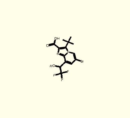 CC(C)(C)c1c(C(=O)O)nc2c(C(O)C(F)(F)F)cc(Br)cn12